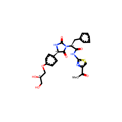 COC(=O)c1csc(NC(=O)[C@H](Cc2ccccc2)N2C(=O)N[C@H](c3ccc(OC[C@H](O)CO)cc3)C2=O)n1